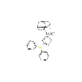 O=C([O-])C12CC3CC(CC(C3)C1)C2.c1ccc([S+](c2ccccc2)c2ccccc2)cc1